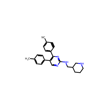 Cc1ccc(-c2cnc(NCC3CCCNC3)nc2-c2c#cc(C#N)cc2)cc1